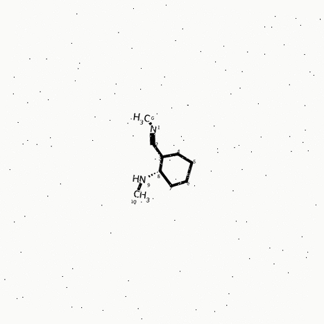 C/N=C/C1CCCC[C@@H]1NC